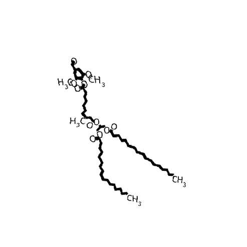 CCCCCCCCC=CCCCCCCCC(=O)OCC(COC(=O)CCCCCCC/C=C\CCCCCCCC)OC(=O)CC(C)CCCCCCC(=O)Oc1c(OC)cc(C=O)cc1OC